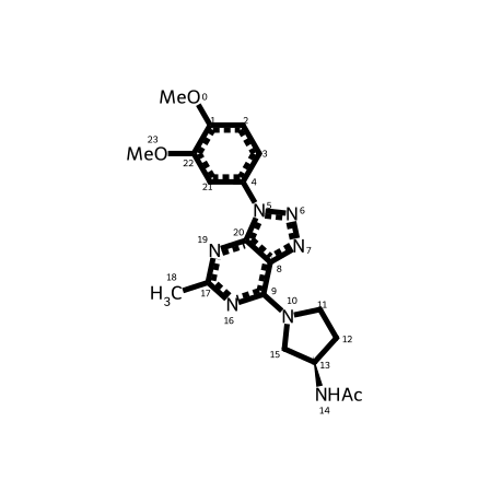 COc1ccc(-n2nnc3c(N4CC[C@@H](NC(C)=O)C4)nc(C)nc32)cc1OC